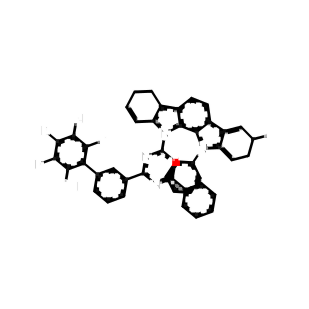 Bc1c(B)c(B)c(-c2cccc(-c3nc(-c4ccccc4)nc(-n4c5c(c6ccc7c8c(n(-c9ccccc9)c7c64)=CCC(C)C=8)CCC=C5)n3)c2)c(B)c1B